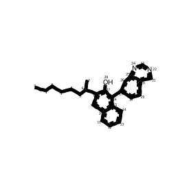 CCCCCCC(C)c1cc2ccccc2c(-c2ccc3cncnc3c2)c1O